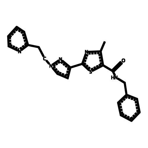 Cc1nc(-c2ccn(CCc3ccccn3)n2)sc1C(=O)NCc1ccccc1